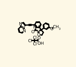 COc1cccc(C2(c3cccc(C#Cc4cnc5cccnn45)c3)CCON2C(N)=O)c1.O=C(O)C(Cl)(Cl)Cl